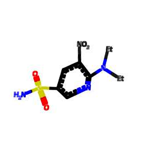 CCN(CC)c1ncc(S(N)(=O)=O)cc1[N+](=O)[O-]